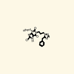 CCCCCn1c(=O)n(CCCn2nnnc2Cc2ccccc2)c(=O)c2[nH]c(Cl)nc21